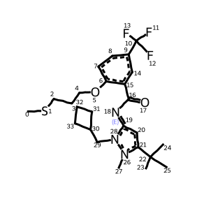 CSCCCOc1ccc(C(F)(F)F)cc1C(=O)/N=c1\cc(C(C)(C)C)n(C)n1CC1CCC1